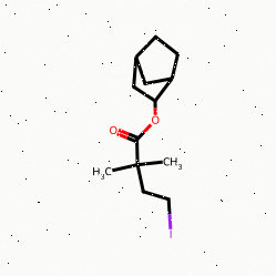 CC(C)(CCI)C(=O)OC1CC2CCC1C2